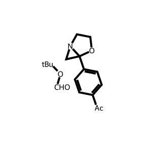 CC(=O)c1ccc(C23CN2CCO3)cc1.CC(C)(C)OC=O